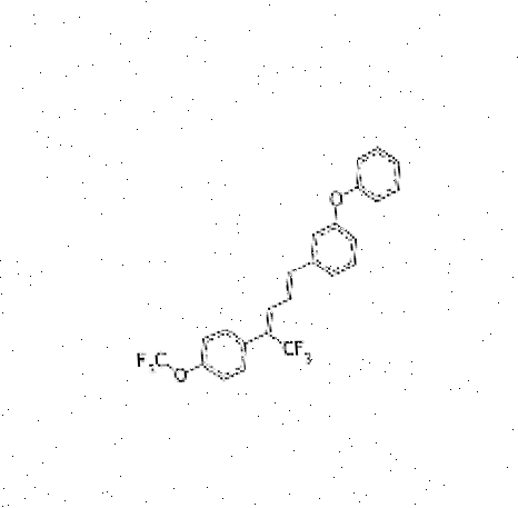 FC(F)(F)Oc1ccc(C(=CC=Cc2cccc(Oc3ccccc3)c2)C(F)(F)F)cc1